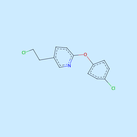 ClCCc1ccc(Oc2ccc(Cl)cc2)nc1